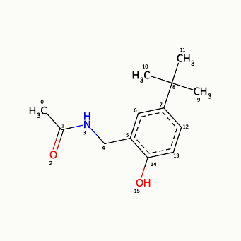 CC(=O)NCc1cc(C(C)(C)C)ccc1O